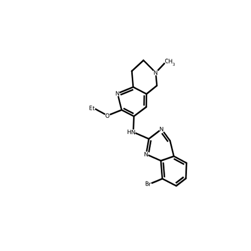 CCOc1nc2c(cc1Nc1ncc3cccc(Br)c3n1)CN(C)CC2